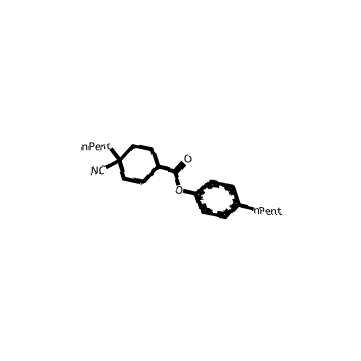 CCCCCc1ccc(OC(=O)C2CCC(C#N)(CCCCC)CC2)cc1